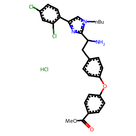 CCCCn1cc(-c2ccc(Cl)cc2Cl)nc1C(N)Cc1ccc(Oc2ccc(C(=O)OC)cc2)cc1.Cl